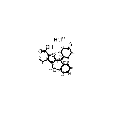 CCc1c(C(=O)O)sc2c1COc1ccccc1C2=C1CCN(C)CC1.Cl